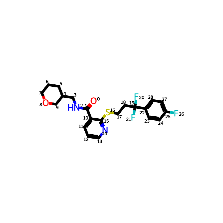 O=C(NCC1CCCOC1)c1cccnc1SCCC(F)(F)c1ccc(F)cc1